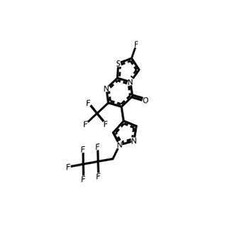 O=c1c(-c2cnn(CC(F)(F)C(F)(F)F)c2)c(C(F)(F)F)nc2sc(F)cn12